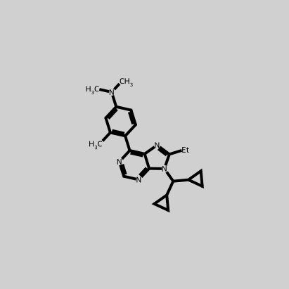 CCc1nc2c(-c3ccc(N(C)C)cc3C)ncnc2n1C(C1CC1)C1CC1